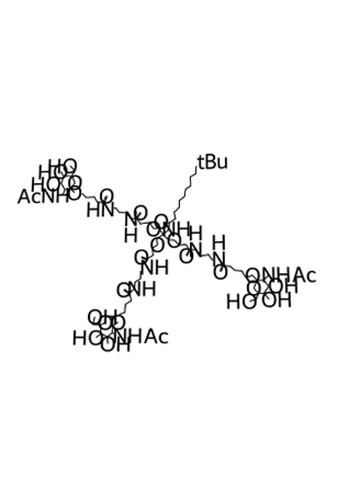 CC(=O)NC1C(OCCCCC(=O)NCCCNC(=O)CCOCC(COCCC(=O)NCCCNC(=O)CCCCOC2OC(CO)C(O)C(O)C2NC(C)=O)(COCCC(=O)NCCCNC(=O)CCCCOC2OC(CO)C(O)C(O)C2NC(C)=O)NC(=O)CCCCCCCCCCC(C)(C)C)OC(CO)C(O)C1O